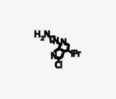 CC(C)c1cnc(N2CC(N)C2)c2cnc(Cl)cc12